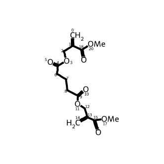 C=C(COC(=O)CCCC(=O)OCC(=C)C(=O)OC)C(=O)OC